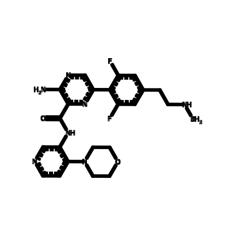 BNCCc1cc(F)c(-c2cnc(N)c(C(=O)Nc3cnccc3N3CCOCC3)n2)c(F)c1